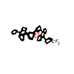 FC(F)(F)C1=CCC(c2c3ccccc3c(-c3cccc4c3oc3ccc(-c5c6ccccc6c(-c6ccccc6)c6ccccc56)cc34)c3ccccc23)C=C1